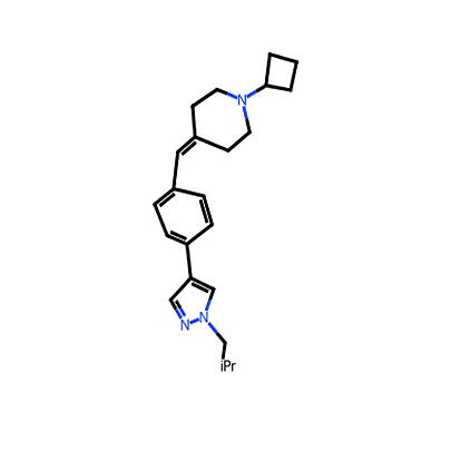 CC(C)Cn1cc(-c2ccc(C=C3CCN(C4CCC4)CC3)cc2)cn1